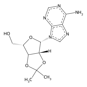 CC1(C)OC2[C@H](CO)O[C@H](n3cnc4c(N)ncnc43)[C@@H]2O1